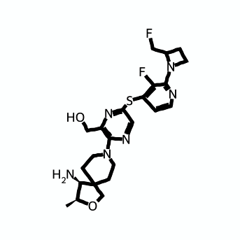 C[C@@H]1OCC2(CCN(c3ncc(Sc4ccnc(N5CCC5CF)c4F)nc3CO)CC2)[C@@H]1N